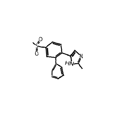 Cc1ncc(-c2ccc(S(C)(=O)=O)cc2-c2ccccc2)[nH]1